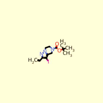 C=Cc1nn2c(c1I)CN(C(=O)OC(C)(C)C)CC2